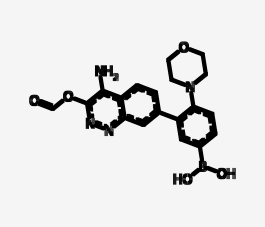 Nc1c(OC=O)nnc2cc(-c3cc(B(O)O)ccc3N3CCOCC3)ccc12